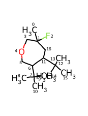 CC1(F)COCC(C(C)(C)C)C(C(C)(C)C)C1